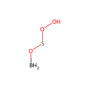 BOSOO